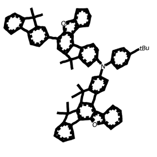 CC(C)(C)c1ccc(N(c2ccc3c(c2)C(C)(C)c2cc(-c4ccc5c(c4)C(C)(C)c4ccccc4-5)c4oc5ccccc5c4c2-3)c2ccc3c(c2)C(C)(C)c2c4c(c5oc6ccccc6c5c2-3)-c2ccccc2C4(C)C)cc1